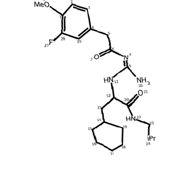 COc1ccc(CC(=O)N=C(N)NC(CC2CCCCC2)C(=O)NCC(C)C)cc1F